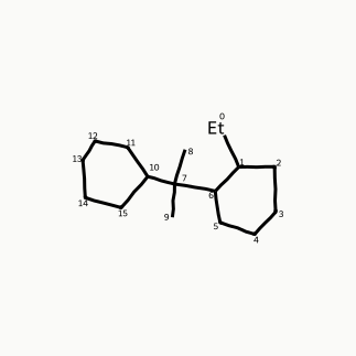 CCC1CCCCC1C(C)(C)C1CCCCC1